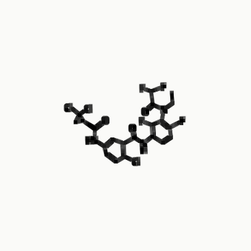 CCN(C(=O)C(F)F)c1c(F)ccc(NC(=O)c2cc(NC(=O)[C@H]3CC3(Cl)Cl)ccc2Cl)c1F